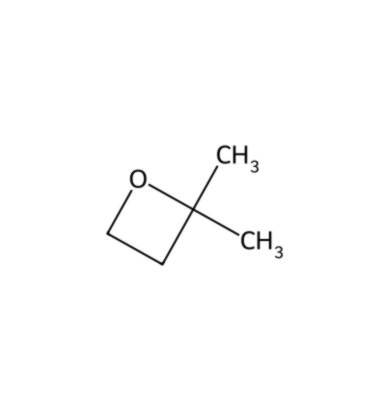 CC1(C)CCO1